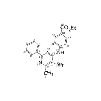 CCCc1c(C)nc(-c2ccccc2)nc1Nc1ccc(C(=O)OCC)cc1